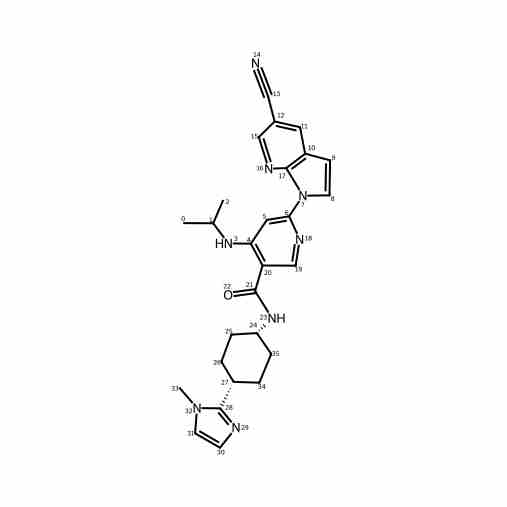 CC(C)Nc1cc(-n2ccc3cc(C#N)cnc32)ncc1C(=O)N[C@H]1CC[C@@H](c2nccn2C)CC1